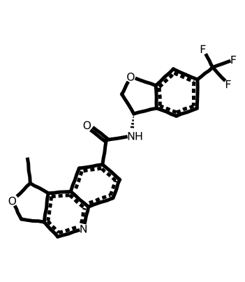 CC1OCc2cnc3ccc(C(=O)N[C@@H]4COc5cc(C(F)(F)F)ccc54)cc3c21